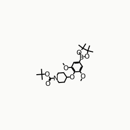 COc1cc(B2OC(C)(C)C(C)(C)O2)cc(OC)c1OC1CCN(C(=O)OC(C)(C)C)CC1